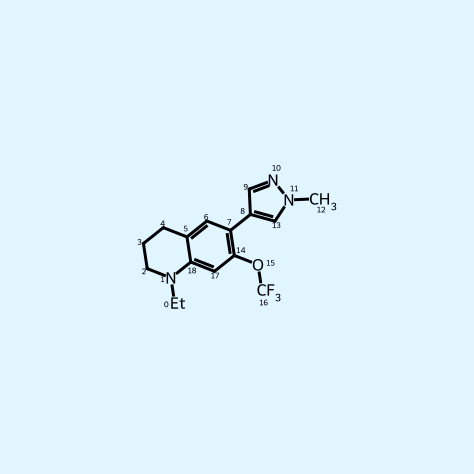 CCN1CCCc2cc(-c3cnn(C)c3)c(OC(F)(F)F)cc21